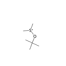 C[S+](C)OC(C)(C)C